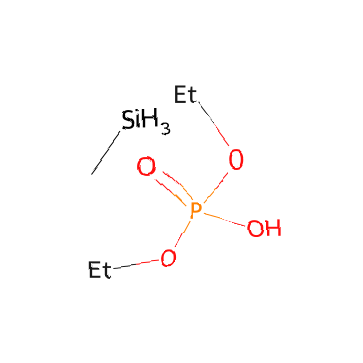 CCOP(=O)(O)OCC.C[SiH3]